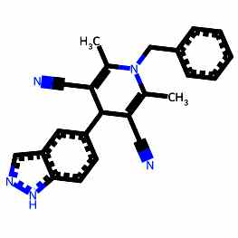 CC1=C(C#N)C(c2ccc3[nH]ncc3c2)C(C#N)=C(C)N1Cc1ccccc1